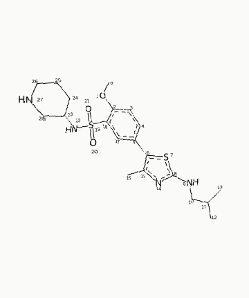 COc1ccc(-c2sc(NCC(C)C)nc2C)cc1S(=O)(=O)NC1CCCNC1